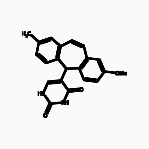 COc1ccc2c(c1)C=Cc1cc(C)ccc1C2c1c[nH]c(=O)[nH]c1=O